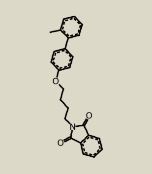 Cc1ccccc1-c1ccc(OCCCCN2C(=O)c3ccccc3C2=O)cc1